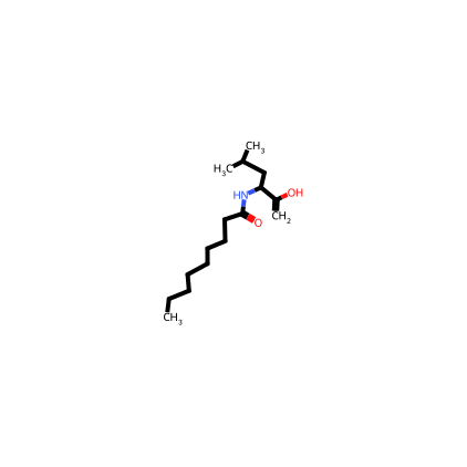 C=C(O)C(CC(C)C)NC(=O)CCCCCCCC